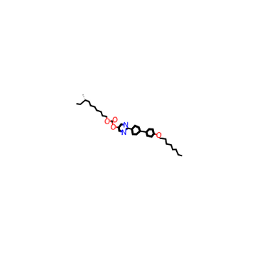 CCCCCCCCOc1ccc(-c2ccc(-c3ncc(OC(=O)OCCCCCCC[C@@H](C)CC)cn3)cc2)cc1